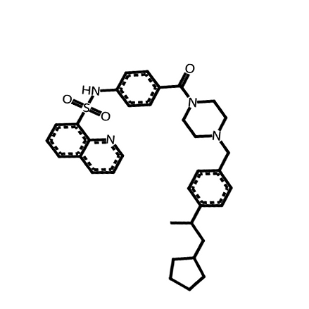 CC(CC1CCCC1)c1ccc(CN2CCN(C(=O)c3ccc(NS(=O)(=O)c4cccc5cccnc45)cc3)CC2)cc1